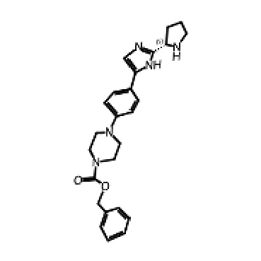 O=C(OCc1ccccc1)N1CCN(c2ccc(-c3cnc([C@@H]4CCCN4)[nH]3)cc2)CC1